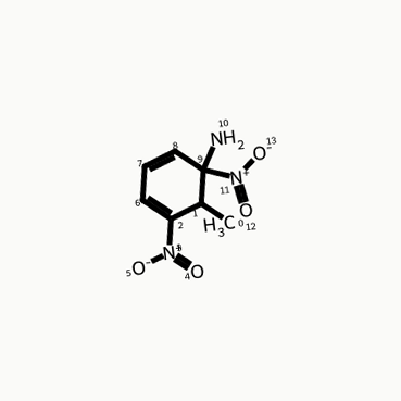 CC1C([N+](=O)[O-])=CC=CC1(N)[N+](=O)[O-]